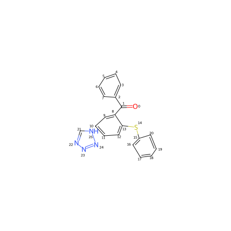 O=C(c1ccccc1)c1ccccc1Sc1ccccc1.c1nnn[nH]1